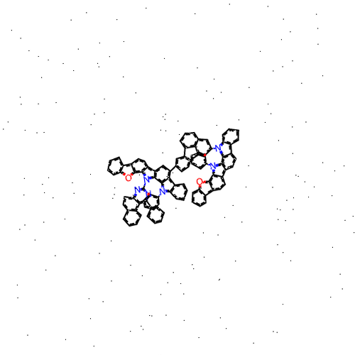 c1ccc(-c2nc(-n3c4c(ccc5c6ccccc6oc54)c4cc(-c5ccc6c(c5)-c5cccc7cc(-n8c9ccccc9c9ccc%10c%11ccc%12c%13ccccc%13oc%12c%11n(-c%11ccccc%11)c%10c98)cc-6c57)c5c6ccccc6n(-c6ccccc6)c5c43)nc3ccc4ccccc4c23)cc1